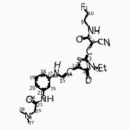 CCn1c(=C=C(C#N)C(=O)NCCF)sc(=C=CNc2cccc(NC(=O)CN(C)C)c2)c1=O